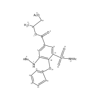 CCCCNc1cc(C(=O)OC(C)COC(C)=O)cc(S(=O)(=O)NC(C)=O)c1Oc1ccccc1